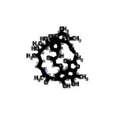 COC1/C=C/OC2(C)Oc3c(C)c(O)c4c(O)c(cc(OCC(=O)Nc5ccc(I)cc5)c4c3C2=O)NC(=O)/C(C)=C\C=C\C(C)C(O)C(C)C(O)C(C)C(OC(C)=O)C1C